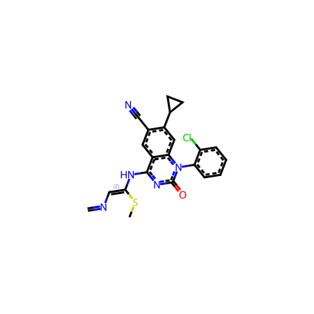 C=N/C=C(/Nc1nc(=O)n(-c2ccccc2Cl)c2cc(C3CC3)c(C#N)cc12)SC